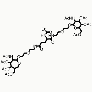 CCC(=O)NC(CCC(=O)NCCOCCOC1OCC(COC(C)=O)C(OC(C)=O)C(OC(C)=O)C1NC(C)=O)C(=O)NCCOCCOC1OC(COC(C)=O)C(OC(C)=O)C(OC(C)=O)C1NC(C)=O